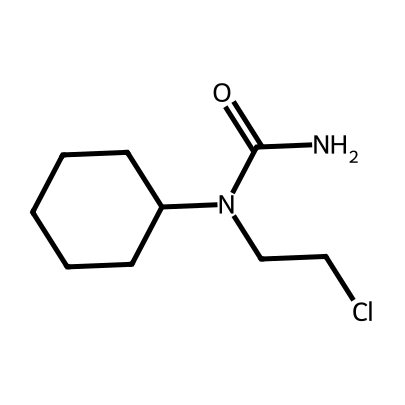 NC(=O)N(CCCl)C1CCCCC1